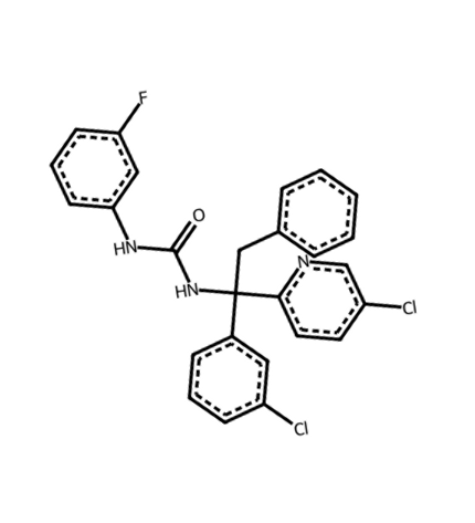 O=C(Nc1cccc(F)c1)NC(Cc1ccccc1)(c1cccc(Cl)c1)c1ccc(Cl)cn1